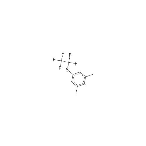 Cc1[c]c(C)cc(SC(F)(F)C(F)(F)F)c1